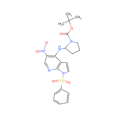 CC(C)(C)OC(=O)N1CCCC1Nc1c([N+](=O)[O-])cnc2c1ccn2S(=O)(=O)c1ccccc1